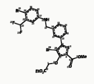 CCOC(=O)COc1c(C(=O)OC)sc(-c2cccc(CNc3ccc(Br)c(C(F)F)c3)c2)c1Br